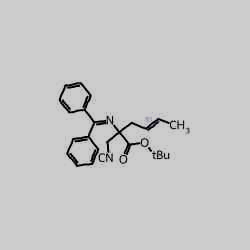 C/C=C/CC(CC#N)(N=C(c1ccccc1)c1ccccc1)C(=O)OC(C)(C)C